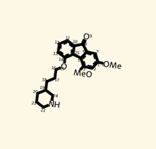 COc1cc(OC)c2c(c1)C(=O)c1cccc(OCCCC3CCCNC3)c1-2